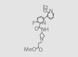 CCOc1ncccc1-c1ccc(F)c(C(=O)NC2CN(CCC(=O)OC)C2)n1